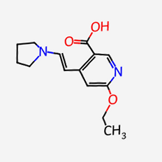 CCOc1cc(C=CN2CCCC2)c(C(=O)O)cn1